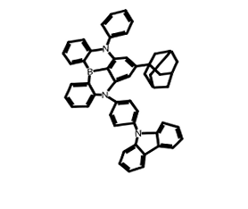 c1ccc(N2c3ccccc3B3c4ccccc4N(c4ccc(-n5c6ccccc6c6ccccc65)cc4)c4cc(C56CC7CC(CC(C7)C5)C6)cc2c43)cc1